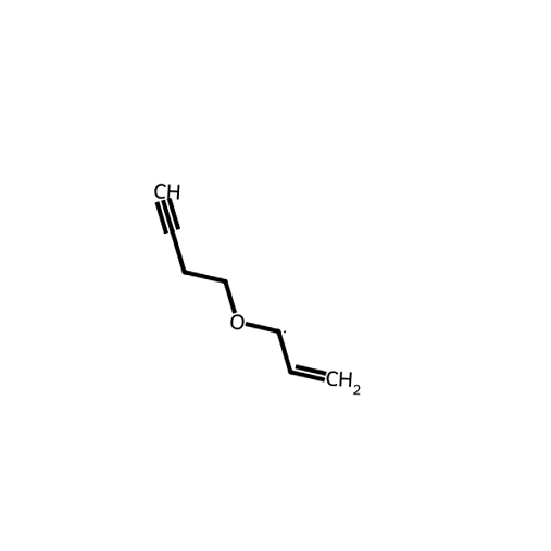 C#CCCO[CH]C=C